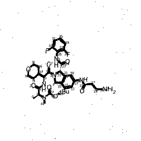 C[C@@H](C(=O)N[C@H](C(=O)N1Cc2ccc(NC(=O)CCN)cc2[C@H]1C(=O)Nc1c(F)cccc1F)C1CCOCC1)N(C)C(=O)OC(C)(C)C